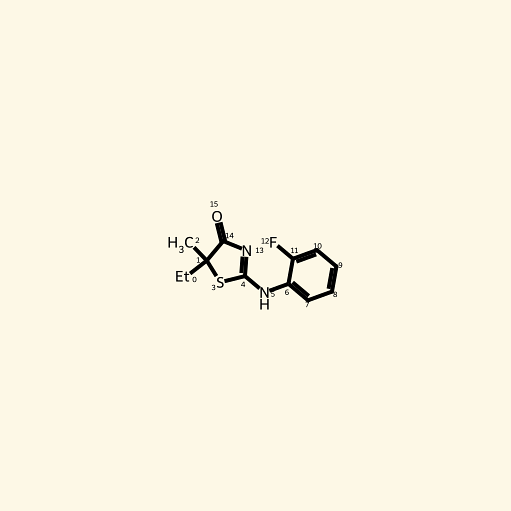 CCC1(C)SC(Nc2ccccc2F)=NC1=O